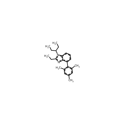 CCc1nc2c(-c3c(C)cc(C)cc3C)cccc2n1C(CC)CC